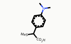 CSC(C(=O)O)c1ccc(N(C)C)cc1